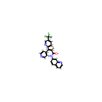 O=C(Nc1ccc2cccnc2c1)c1sc2cc(C(F)(F)F)cnc2c1-c1ccncc1